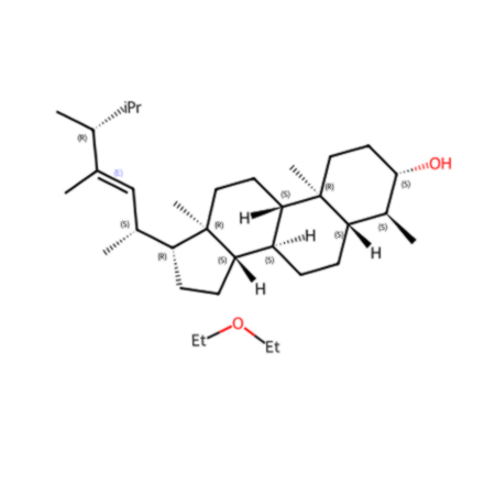 C/C(=C\[C@@H](C)[C@H]1CC[C@H]2[C@@H]3CC[C@H]4[C@H](C)[C@@H](O)CC[C@]4(C)[C@H]3CC[C@]12C)[C@H](C)C(C)C.CCOCC